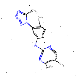 CNc1nc(Nc2ccc(OC)c(-n3nnnc3C)c2)ncc1C